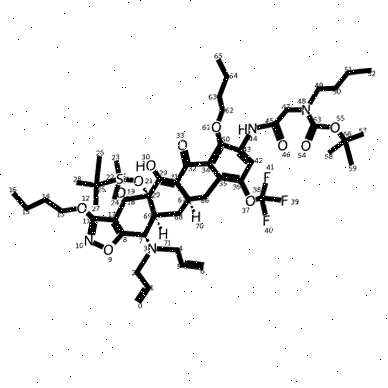 C=CCN(CC=C)[C@@H]1c2onc(OCCCC)c2C(=O)[C@@]2(O[Si](C)(C)C(C)(C)C)C(O)=C3C(=O)c4c(c(OC(F)(F)F)cc(NC(=O)CN(CCCC)C(=O)OC(C)(C)C)c4OCCCC)C[C@H]3C[C@@H]12